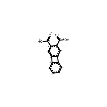 O=C(O)c1cc2c(cc1C(=O)O)-c1ccccc1-2